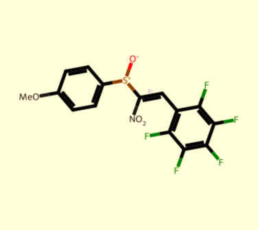 COc1ccc([S+]([O-])/C(=C/c2c(F)c(F)c(F)c(F)c2F)[N+](=O)[O-])cc1